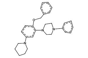 c1ccc(COc2ccc(N3CCCCC3)cc2N2CCN(c3ccccc3)CC2)cc1